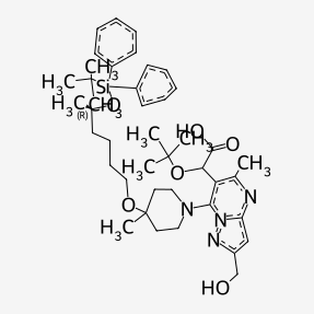 Cc1nc2cc(CO)nn2c(N2CCC(C)(OCCCC[C@@H](C)O[Si](c3ccccc3)(c3ccccc3)C(C)(C)C)CC2)c1C(OC(C)(C)C)C(=O)O